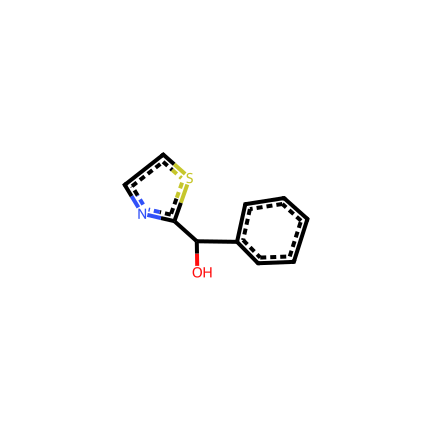 OC(c1ccccc1)c1nccs1